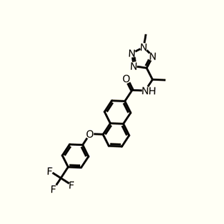 CC(NC(=O)c1ccc2c(Oc3ccc(C(F)(F)F)cc3)cccc2c1)c1nnn(C)n1